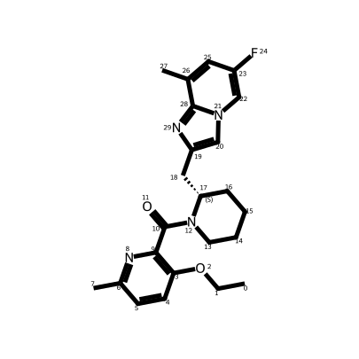 CCOc1ccc(C)nc1C(=O)N1CCCC[C@H]1Cc1cn2cc(F)cc(C)c2n1